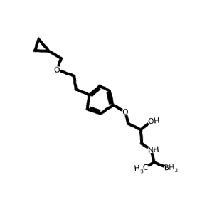 BC(C)NCC(O)COc1ccc(CCOCC2CC2)cc1